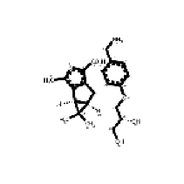 Cc1sc(C(=O)O)c2c1[C@H]1[C@@H](C2)C1(C)C.NCc1ccc(OC[C@H](O)CO)cc1